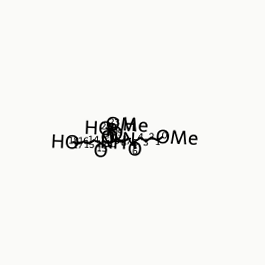 COCCCCC(=O)NCC(CNC(=O)CCCCO)OP(=O)(O)OC